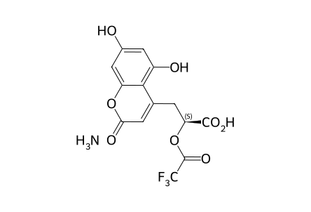 N.O=C(O)[C@H](Cc1cc(=O)oc2cc(O)cc(O)c12)OC(=O)C(F)(F)F